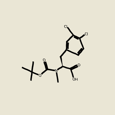 CN(C(=O)OC(C)(C)C)[C@@H](Cc1ccc(Cl)c(Cl)c1)C(=O)O